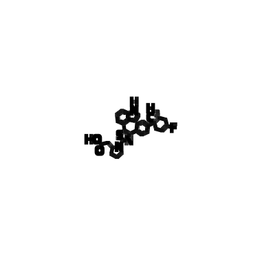 CC1(c2ccc(-c3nc(N4CCCC4CC(=O)O)sc3-c3cccc4[nH]ccc34)cc2)CC=C(F)CC1